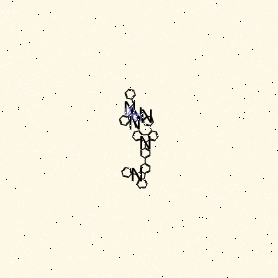 C=N/C(=N\C(=N/Cc1ccccc1)c1ccccc1)c1cc(-c2cccc3c2c2ccccc2n3-c2ccc(-c3ccc4c5ccccc5n(-c5ccccc5)c4c3)cc2)ccn1